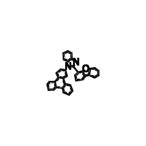 c1ccc2c(c1)nc(-c1cccc3c1oc1ccccc13)n2-c1ccc2c3ccccc3c3ccccc3c2c1